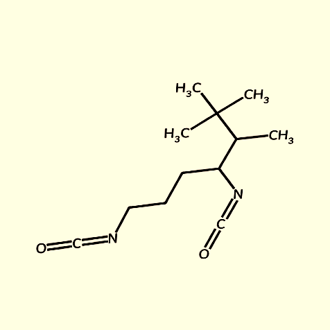 CC(C(CCCN=C=O)N=C=O)C(C)(C)C